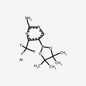 CC1(C)OB(c2cnc(N)nc2C(F)(F)F)OC1(C)C.[Ar]